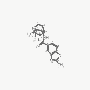 CC1Oc2ccc(C(=O)N[C@@H]3C4CCN(CC4)[C@H]3C)cc2O1